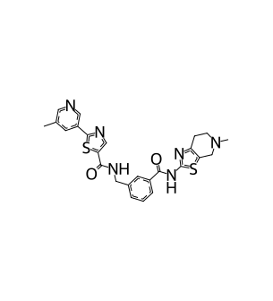 Cc1cncc(-c2ncc(C(=O)NCc3cccc(C(=O)Nc4nc5c(s4)CN(C)CC5)c3)s2)c1